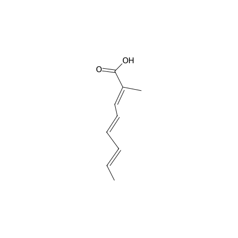 C/C=C/C=C/C=C(\C)C(=O)O